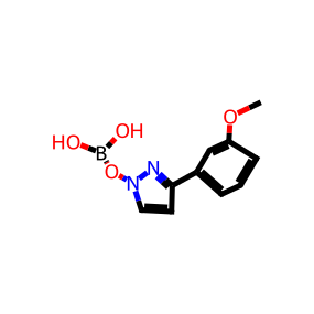 COc1cccc(-c2ccn(OB(O)O)n2)c1